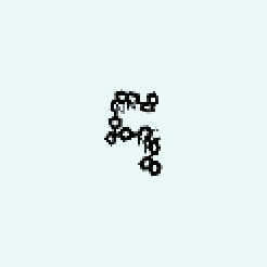 c1ccc2c(-c3ccc4ccc5ccc(-c6ccc(C7(c8ccc(-c9ccc%10ccc%11ccc(-c%12cccc%13ccccc%12%13)nc%11c%10n9)cc8)CCCC7)cc6)nc5c4n3)cccc2c1